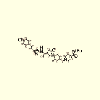 CC(C)(C)OC(=O)N1CCN(Cc2ccc(N3CC(C(=O)Nc4nnc(CCc5ccc(Cl)cc5)s4)CC3=O)cc2)CC1